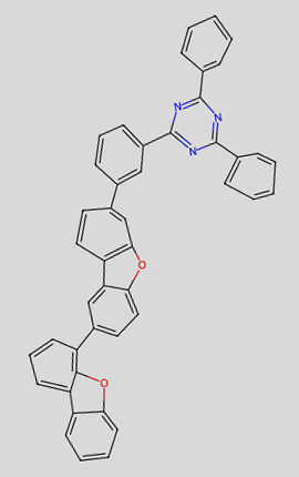 c1ccc(-c2nc(-c3ccccc3)nc(-c3cccc(-c4ccc5c(c4)oc4ccc(-c6cccc7c6oc6ccccc67)cc45)c3)n2)cc1